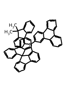 CC1(C)c2ccccc2-c2c(N(c3ccc4c5ccccc5c5ccccc5c4c3)c3cccc4c3C3(c5ccccc5-c5ccccc53)c3ccccc3-4)cccc21